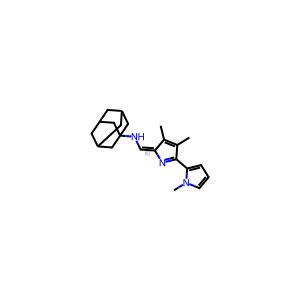 CC1=C(C)/C(=C\NC23CC4CC(CC(C4)C2)C3)N=C1c1cccn1C